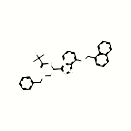 CC(C)(N)C(=O)N[C@H](COCc1ccccc1)c1nnc2c(OCc3cccc4ccccc34)cccn12